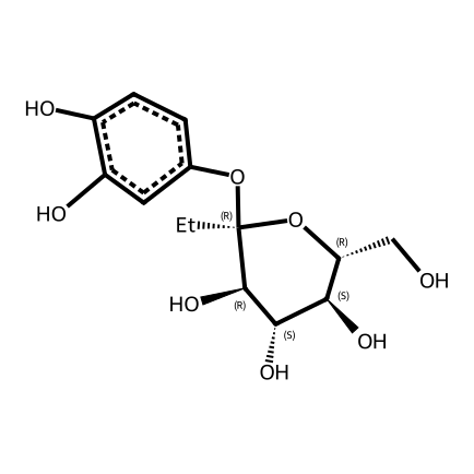 CC[C@]1(Oc2ccc(O)c(O)c2)O[C@H](CO)[C@@H](O)[C@H](O)[C@H]1O